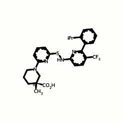 CC(C)c1ccccc1-c1nc(NSc2cccc(N3CCC[C@](C)(C(=O)O)C3)n2)ccc1C(F)(F)F